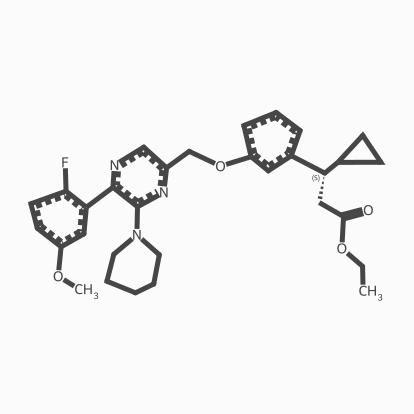 CCOC(=O)C[C@H](c1cccc(OCc2cnc(-c3cc(OC)ccc3F)c(N3CCCCC3)n2)c1)C1CC1